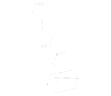 O=C(NC12CC3CC(CC(C3)C1)C2)c1csc(-c2ccco2)n1